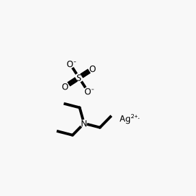 CCN(CC)CC.O=S(=O)([O-])[O-].[Ag+2]